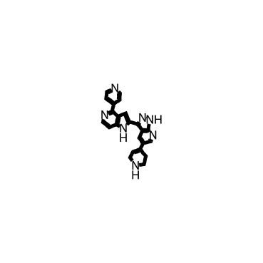 C1=C(c2cnc3[nH]nc(-c4cc5c(-c6ccncc6)nccc5[nH]4)c3c2)CCNC1